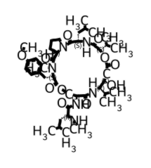 CN[C@H](CC(C)C)C(=O)N[C@H]1COC(=O)[C@H](Cc2ccc(OC)cc2)N(C)C(=O)[C@@H]2CCCN2C(=O)[C@H](CC(C)C)NC(=O)[C@H](C(C)C)OC(=O)C[C@H](O)[C@@H](C(C)C)NC1=O